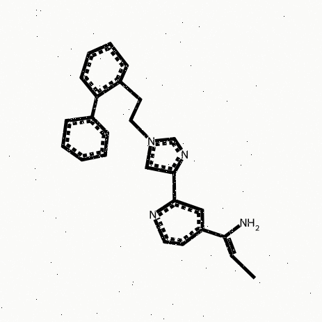 C/C=C(\N)c1ccnc(-c2cn(CCc3ccccc3-c3ccccc3)cn2)c1